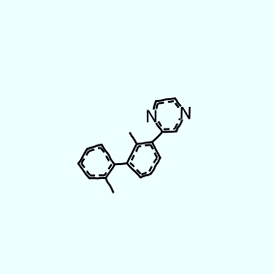 Cc1ccccc1-c1cccc(-c2cnccn2)c1C